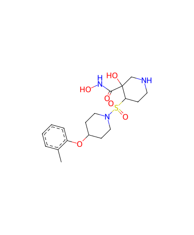 Cc1ccccc1OC1CCN(S(=O)(=O)C2CCNCC2(O)C(=O)NO)CC1